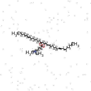 CCCCC/C=C\CC#CCCCCCCCCC(CCCCCCCC/C=C/CCCCCC)OC(=O)CCCCN(C)C